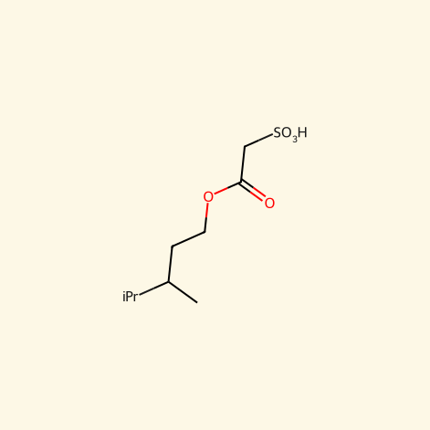 CC(C)C(C)CCOC(=O)CS(=O)(=O)O